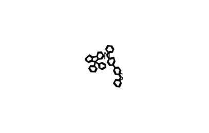 C1=CC2c3ccccc3C(c3ccccc3)(c3ccccc3)C2C=C1N(c1ccccc1)c1ccc(-c2ccc(Sc3ccccc3)cc2)cc1